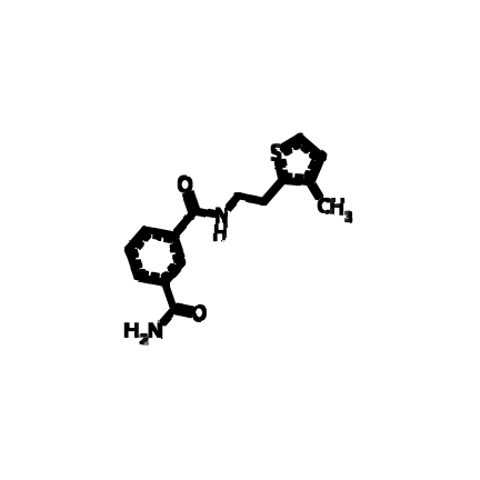 Cc1ccsc1CCNC(=O)c1cccc(C(N)=O)c1